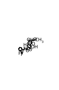 COCCN1C(=O)c2c(O)c(=O)c(C(=O)NCc3ccccc3C(F)(F)F)cn2CC1O